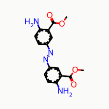 COC(=O)c1cc(/N=N/c2ccc(N)c(C(=O)OC)c2)ccc1N